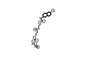 COc1ccc2cc([C@H](C)C(=O)OCCC[S+]([O-])CCCOC(=O)OC(C)ON=O)ccc2c1